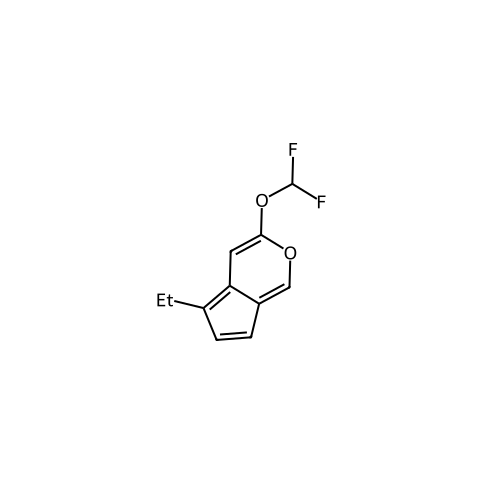 [CH2]Cc1ccc2coc(OC(F)F)cc1-2